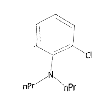 CCCN(CCC)c1[c]cccc1Cl